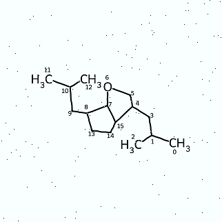 CC(C)CC1COC2C(CC(C)C)CCC12